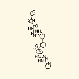 CN(CC(=O)Nc1nnc(-c2ccccn2)[nH]1)S(=O)(=O)c1cccc(-c2ccnc(-c3nnc(NC(=O)c4csc(-c5ccoc5)n4)[nH]3)c2)c1